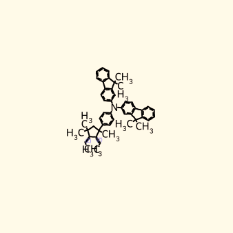 C/C=C1\C(=C/C)C(C)(c2ccc(N(c3ccc4c(c3)C(C)(C)c3ccccc3-4)c3ccc4c(c3)C(C)(C)c3ccccc3-4)cc2)CC1(C)C